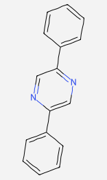 c1ccc(-c2cnc(-c3ccccc3)cn2)cc1